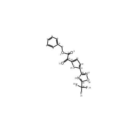 O=C(OCc1ccccc1)C(=O)c1ccc(-c2noc(C(F)(F)F)n2)s1